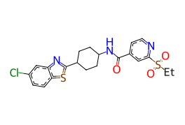 CCS(=O)(=O)c1cc(C(=O)NC2CCC(c3nc4cc(Cl)ccc4s3)CC2)ccn1